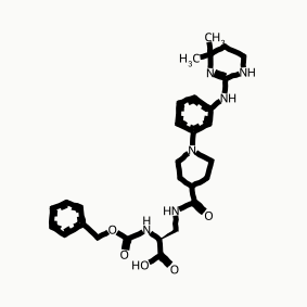 CC1(C)CCNC(Nc2cccc(N3CCC(C(=O)NC[C@H](NC(=O)OCc4ccccc4)C(=O)O)CC3)c2)=N1